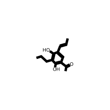 CC=Cc1cc(C(C)=O)c(O)c(CCC)c1O